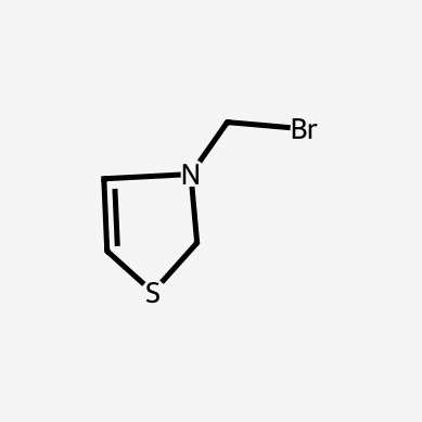 BrCN1C=CSC1